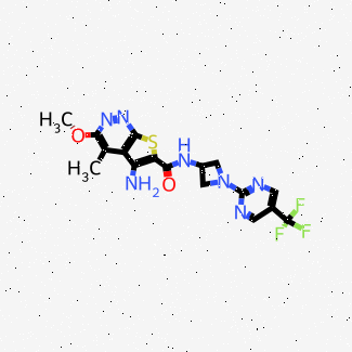 COc1nnc2sc(C(=O)NC3CN(c4ncc(C(F)(F)F)cn4)C3)c(N)c2c1C